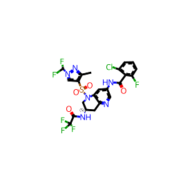 Cc1nn(C(F)F)cc1S(=O)(=O)N1C[C@@H](NC(=O)C(F)(F)F)Cc2ncc(NC(=O)c3c(F)cccc3Cl)cc21